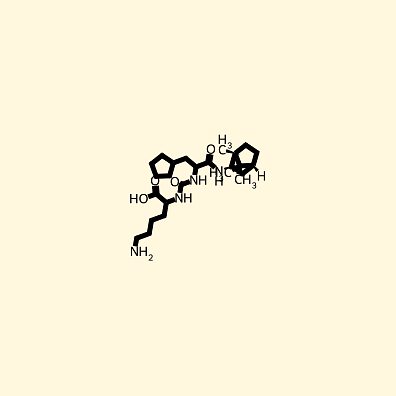 CC1(C)[C@@H]2CC[C@@]1(C)[C@@H](NC(=O)C(CC1CCCC1)NC(=O)NC(CCCCN)C(=O)O)C2